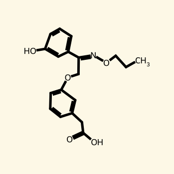 CCCO/N=C(\COc1cccc(CC(=O)O)c1)c1cccc(O)c1